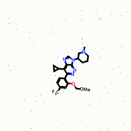 COCOc1cc(C(F)(F)F)ccc1-c1nnc2c(ncn2C2CCCN(C)C2)c1C1CC1